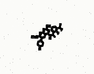 COc1nc2nc(O)nc(N[C@H](C)c3cccc(C(F)F)c3F)c2cc1N1CCNCC1